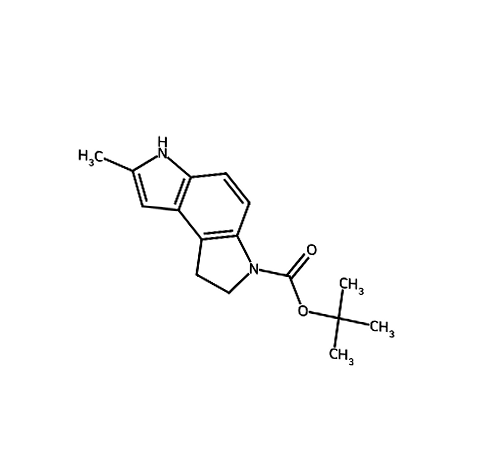 Cc1cc2c3c(ccc2[nH]1)N(C(=O)OC(C)(C)C)CC3